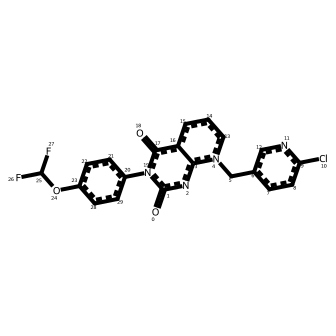 O=c1nc2n(Cc3ccc(Cl)nc3)cccc-2c(=O)n1-c1ccc(OC(F)F)cc1